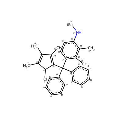 CC1=C(C)C(C)C(C(c2ccccc2)(c2ccccc2)c2ccc(NC(C)(C)C)c(C)c2C)=C1C